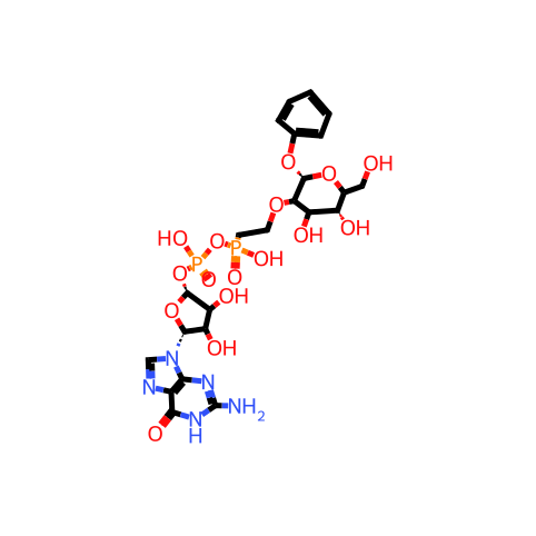 Nc1nc2c(ncn2[C@@H]2O[C@H](OP(=O)(O)OP(=O)(O)CCOC3C(O)[C@@H](O)C(CO)O[C@H]3Oc3ccccc3)C(O)C2O)c(=O)[nH]1